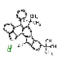 CC(C)(C)c1ccc2c(c1)=c1cc(C(C)(C)C)c(=C(c3ccccc3)c3ccccc3)c(C3=CC=CC3)c1[C]=2[Zr+2].[Cl-].[Cl-]